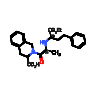 CCOC(=O)[C@H](CCc1ccccc1)N[C@H](C)C(=O)N1Cc2ccccc2CC1C(=O)O